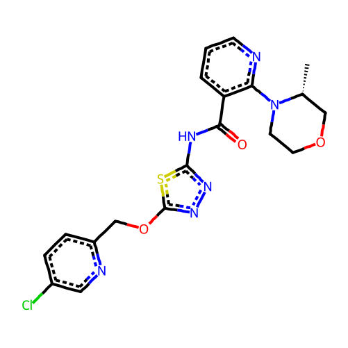 C[C@@H]1COCCN1c1ncccc1C(=O)Nc1nnc(OCc2ccc(Cl)cn2)s1